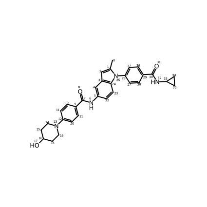 Cc1cc2cc(NC(=O)c3ccc(N4CCC(O)CC4)cc3)ccc2n1-c1ccc(C(=O)NC2CC2)cc1